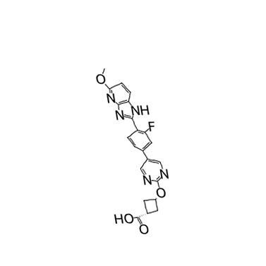 COc1ccc2[nH]c(-c3ccc(-c4cnc(O[C@H]5C[C@@H](C(=O)O)C5)nc4)cc3F)nc2n1